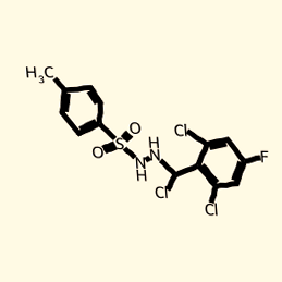 Cc1ccc(S(=O)(=O)NNC(Cl)c2c(Cl)cc(F)cc2Cl)cc1